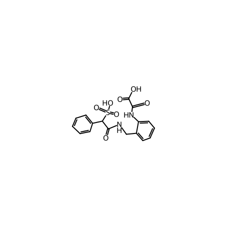 O=C(O)C(=O)Nc1ccccc1CNC(=O)C(c1ccccc1)S(=O)(=O)O